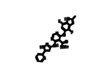 CNC(=O)c1c(Nc2cc(-c3ccccn3)[nH]n2)ncnc1Oc1cc(F)c2[nH]c(C)cc2c1F